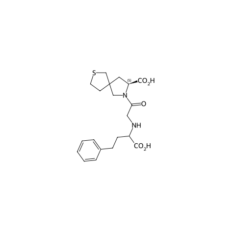 O=C(O)C(CCc1ccccc1)NCC(=O)N1CC2(CCSC2)C[C@H]1C(=O)O